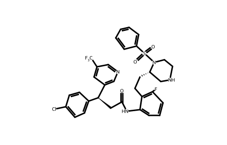 O=C(C[C@@H](c1ccc(Cl)cc1)c1cncc(C(F)(F)F)c1)Nc1cccc(F)c1CC[C@H]1CNCCN1S(=O)(=O)c1ccccc1